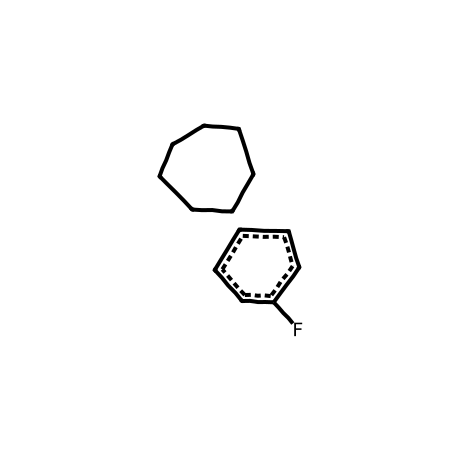 C1CCCCCC1.Fc1ccccc1